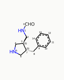 O=CNC[C@@H]1CNC[C@H]1Cc1ccccc1